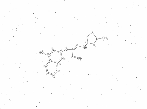 CN1CC[C@H](N/C=C(\C=P)Oc2nc(O)c3ccncc3n2)C1